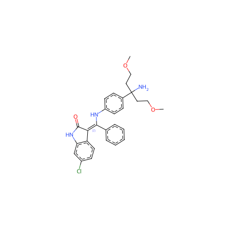 COCCC(N)(CCOC)c1ccc(N/C(=C2\C(=O)Nc3cc(Cl)ccc32)c2ccccc2)cc1